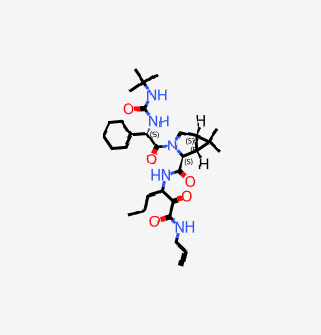 C=CCNC(=O)C(=O)C(CCC)NC(=O)[C@@H]1[C@@H]2[C@H](CN1C(=O)[C@@H](NC(=O)NC(C)(C)C)C1CCCCC1)C2(C)C